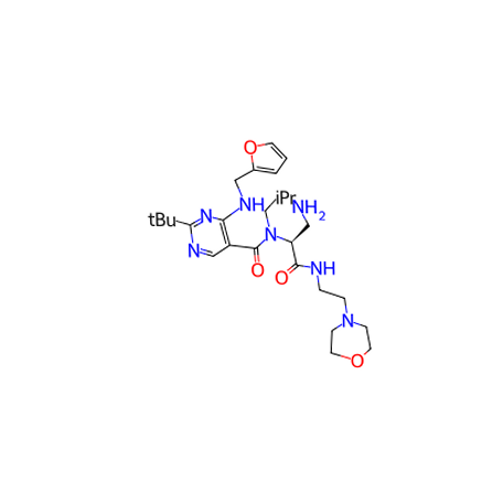 CC(C)CN(C(=O)c1cnc(C(C)(C)C)nc1NCc1ccco1)[C@@H](CN)C(=O)NCCN1CCOCC1